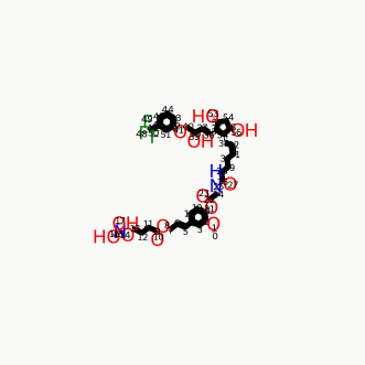 COc1cc(/C=C/COC(=O)CCCON(O)O)ccc1OC(=O)CNC(=O)CCC/C=C\C[C@@H]1[C@@H](/C=C/[C@@H](O)COc2cccc(C(F)(F)F)c2)[C@H](O)C[C@@H]1O